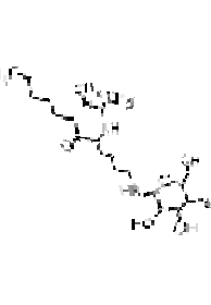 CCCCCCC(=O)[C@H](CCCCNC1OC(CO)C(O)C(O)C1O)NC(C)CC